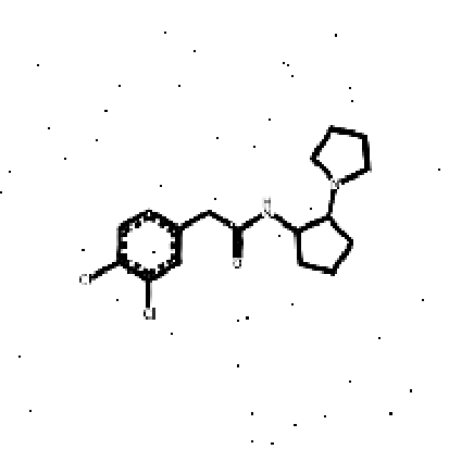 O=C(Cc1ccc(Cl)c(Cl)c1)NC1CCCC1N1CCCC1